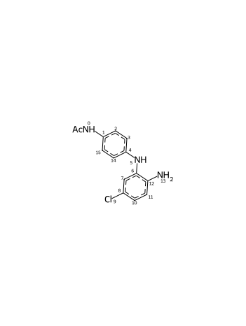 CC(=O)Nc1ccc(Nc2cc(Cl)ccc2N)cc1